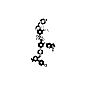 CN1CCN(C[C@@H]2COc3cc(S(=O)(=O)NC(=O)c4ccc(N5CCN(CC6=C(c7ccc(Cl)cc7)CC(C)(C)CC6)CC5)cc4Oc4cnc5[nH]ccc5c4)cc([N+](=O)[O-])c3N2)CC1